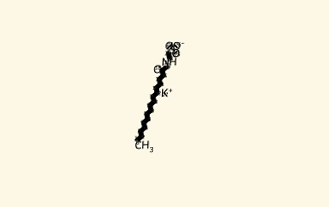 CCCCCCCCCCCCCCCCCC(=O)CNCCS(=O)(=O)[O-].[K+]